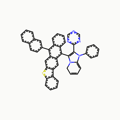 C1=CCN2C(=C1)N(c1ccccc1)C(c1ncncn1)=C2c1c2ccccc2c(-c2ccc3ccccc3c2)c2cc3sc4ccccc4c3cc12